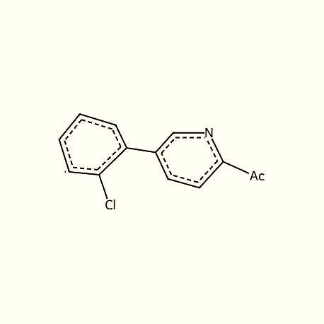 CC(=O)c1ccc(-c2ccc[c]c2Cl)cn1